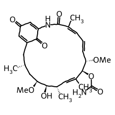 CO[C@H]1/C=C/C=C(/C)C(=O)NC2=CC(=O)C=C(C[C@@H](C)C[C@H](OC)[C@H](O)[C@@H](C)/C=C(\C)[C@@H]1OC(N)=O)C2=O